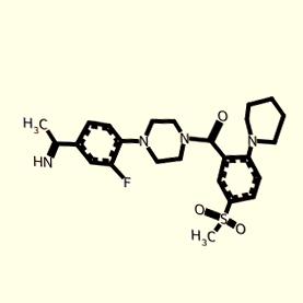 CC(=N)c1ccc(N2CCN(C(=O)c3cc(S(C)(=O)=O)ccc3N3CCCCC3)CC2)c(F)c1